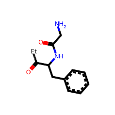 CCC(=O)C(Cc1ccccc1)NC(=O)CN